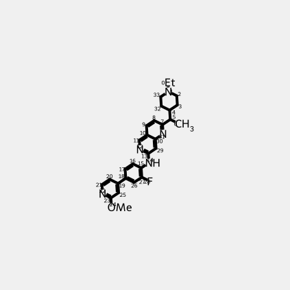 CCN1CCC(C(C)c2ccc3cnc(Nc4ccc(-c5ccnc(OC)c5)cc4F)cc3n2)CC1